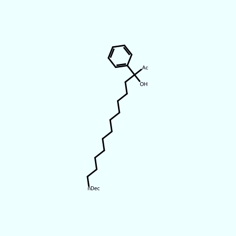 CCCCCCCCCCCCCCCCCCCCCC(O)(C(C)=O)c1ccccc1